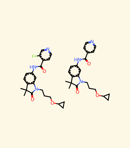 CC1(C)C(=O)N(CCCOC2CC2)c2cc(NC(=O)c3ccncc3)ccc21.CC1(C)C(=O)N(CCCOC2CC2)c2cc(NC(=O)c3ccncc3F)ccc21